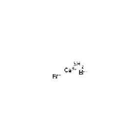 S.[Br-].[Br-].[Ca+2]